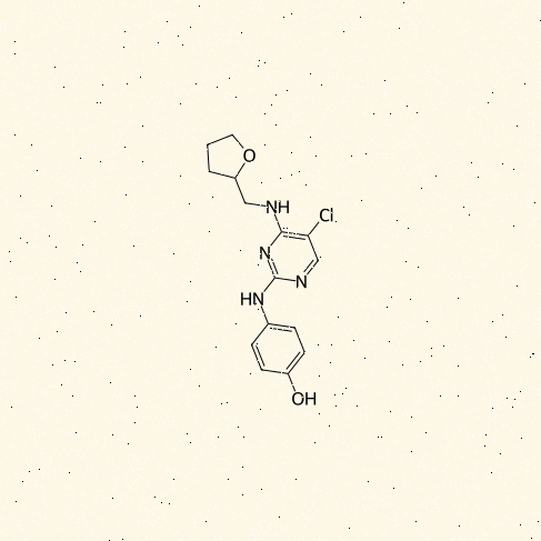 Oc1ccc(Nc2ncc(Cl)c(NCC3CCCO3)n2)cc1